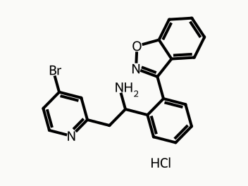 Cl.NC(Cc1cc(Br)ccn1)c1ccccc1-c1noc2ccccc12